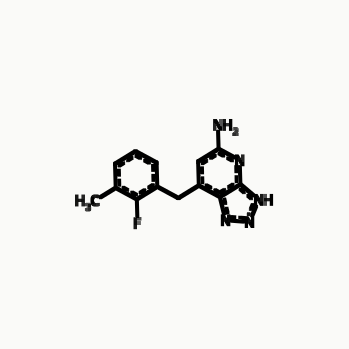 Cc1cccc(Cc2cc(N)nc3[nH]nnc23)c1F